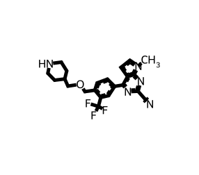 Cn1ccc2c(-c3ccc(COCC4CCNCC4)c(C(F)(F)F)c3)nc(C#N)nc21